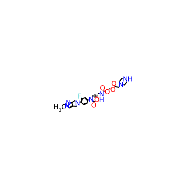 Cn1cc2c(n1)CN(c1ccc(N3C[C@H](CNC(=O)OCOC(=O)CN4CCNCC4)OC3=O)cc1F)C2